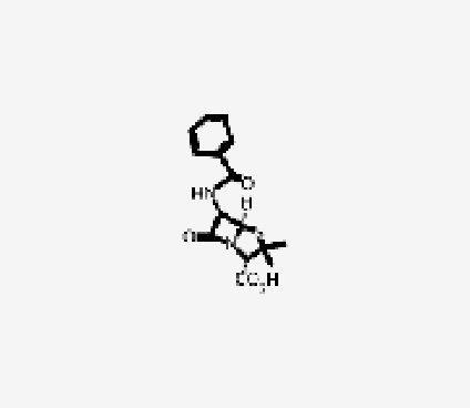 CC1(C)S[C@@H]2[C@H](NC(=O)c3ccccc3)C(=O)N2[C@H]1C(=O)O